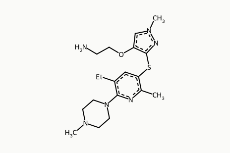 CCc1cc(Sc2nn(C)cc2OCCN)c(C)nc1N1CCN(C)CC1